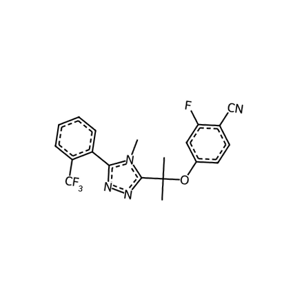 Cn1c(-c2ccccc2C(F)(F)F)nnc1C(C)(C)Oc1ccc(C#N)c(F)c1